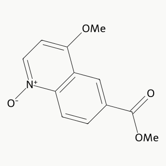 COC(=O)c1ccc2c(c1)c(OC)cc[n+]2[O-]